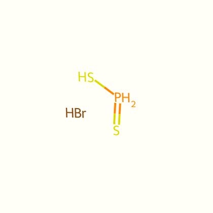 Br.S=[PH2]S